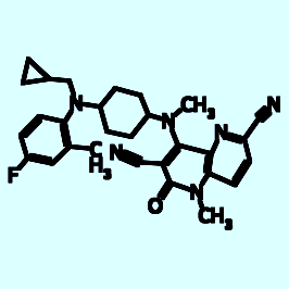 Cc1cc(F)ccc1N(CC1CC1)C1CCC(N(C)c2c(C#N)c(=O)n(C)c3ccc(C#N)nc23)CC1